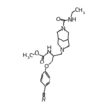 CCNC(=O)N1CC2CC(CN(CC(COc3ccc(C#N)cc3)NC(=O)OC)C2)C1